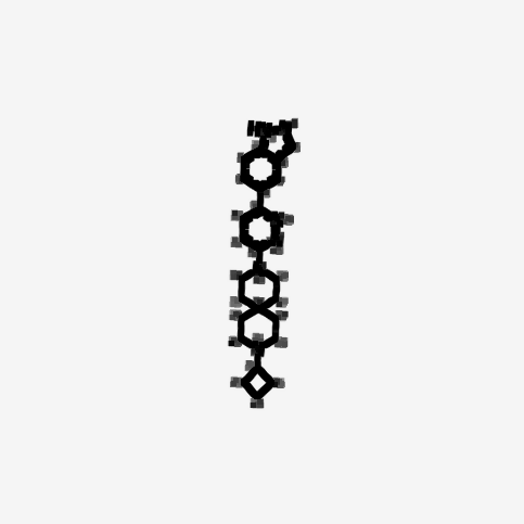 c1cc2[nH]ncc2cc1-c1ccc(N2CCC3(CC2)CCN(C2CCC2)CC3)nn1